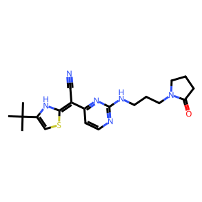 CC(C)(C)C1=CSC(=C(C#N)c2ccnc(NCCCN3CCCC3=O)n2)N1